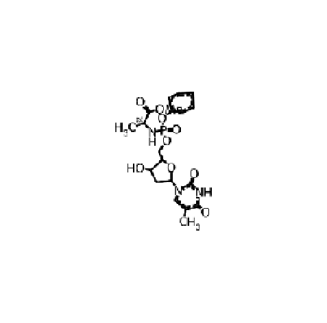 COC(=O)[C@H](C)NP(=O)(OCC1OC(n2cc(C)c(=O)[nH]c2=O)CC1O)Oc1ccccc1